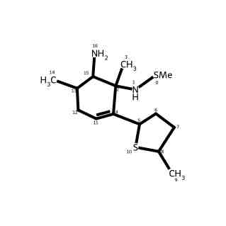 CSNC1(C)C(C2CCC(C)S2)=CCC(C)C1N